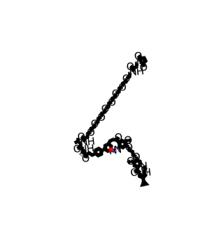 COc1cc2c(cc1OCCCOc1cc3c(cc1OC)C(=O)CCC1C=C(c4ccc(CCC(=O)[C@H](C)NC(=O)C(NC(=O)CCOCCOCCOCCOCCOCCOCCOCCOCCNC(=O)CCN5C(=O)C=CC5=O)C(C)C)cc4)C[C@@H](/C=N\3)C1)N=C[C@@H]1CC(C3CC3)=CN1C2=O